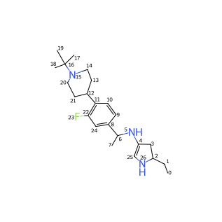 CCC1CC(NC(C)c2ccc(C3CCN(C(C)(C)C)CC3)c(F)c2)=CN1